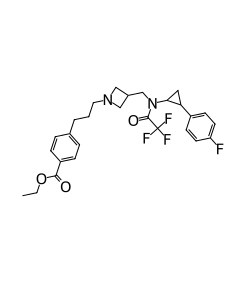 CCOC(=O)c1ccc(CCCN2CC(CN(C(=O)C(F)(F)F)C3CC3c3ccc(F)cc3)C2)cc1